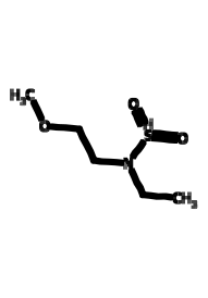 CCN(CCOC)[SH](=O)=O